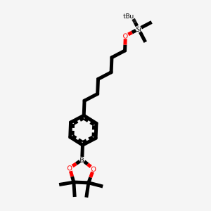 CC1(C)OB(c2ccc(CCCCCCO[Si](C)(C)C(C)(C)C)cc2)OC1(C)C